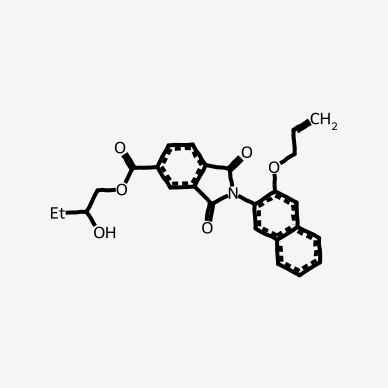 C=CCOc1cc2ccccc2cc1N1C(=O)c2ccc(C(=O)OCC(O)CC)cc2C1=O